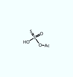 CC(=O)OS(=O)(O)=S